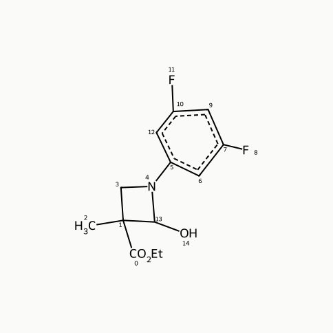 CCOC(=O)C1(C)CN(c2cc(F)cc(F)c2)C1O